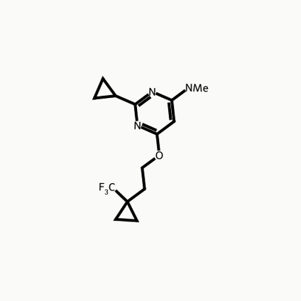 CNc1cc(OCCC2(C(F)(F)F)CC2)nc(C2CC2)n1